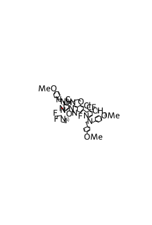 COc1ccc(CNc2nnccc2[C@@H](C)N2CCOc3c(Cl)c(-c4nc(N(Cc5ccc(OC)cc5)Cc5ccc(OC)cc5)cc(C)c4C(F)(F)F)c(F)c4nc(OC[C@@H]5CCN5CC(F)F)nc2c34)cc1